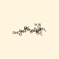 C[N+](C)(CCCCCC(=O)NCCC[N+](C)(C)CCC[N+](C)(C)CCCN)CCCNC(=O)c1ccccc1C=O